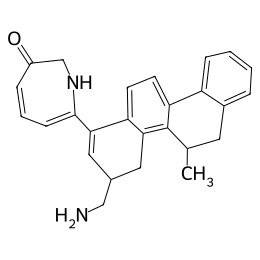 CC1Cc2ccccc2-c2ccc3c(c21)CC(CN)C=C3C1=CC=CC(=O)CN1